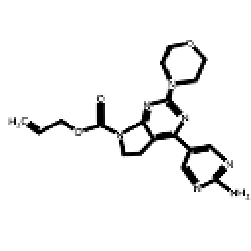 C=CCOC(=O)N1CCc2c(-c3cnc(N)nc3)nc(N3CCOCC3)nc21